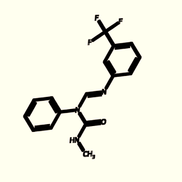 CNC(=O)N(C=Nc1cccc(C(F)(F)F)c1)c1ccccc1